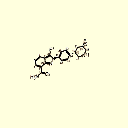 NC(=O)c1cccc2c(F)n(-c3ccc([C@H]4CNC[C@H](F)C4)cc3)nc12